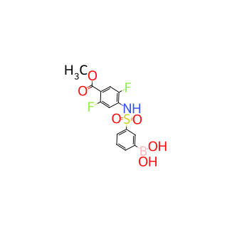 COC(=O)c1cc(F)c(NS(=O)(=O)c2cccc(B(O)O)c2)cc1F